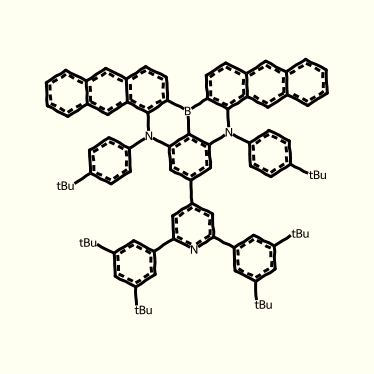 CC(C)(C)c1ccc(N2c3cc(-c4cc(-c5cc(C(C)(C)C)cc(C(C)(C)C)c5)nc(-c5cc(C(C)(C)C)cc(C(C)(C)C)c5)c4)cc4c3B(c3ccc5cc6ccccc6cc5c32)c2ccc3cc5ccccc5cc3c2N4c2ccc(C(C)(C)C)cc2)cc1